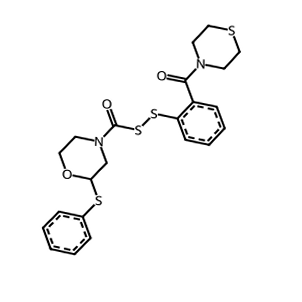 O=C(SSc1ccccc1C(=O)N1CCSCC1)N1CCOC(Sc2ccccc2)C1